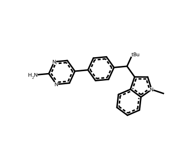 Cn1cc(C(c2ccc(-c3cnc(N)nc3)cc2)C(C)(C)C)c2ccccc21